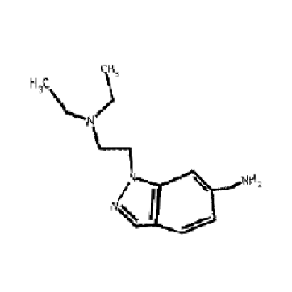 CCN(CC)CCn1ncc2ccc(N)cc21